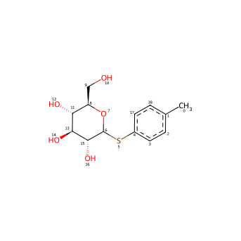 Cc1ccc(SC2O[C@H](CO)[C@@H](O)[C@H](O)[C@H]2O)cc1